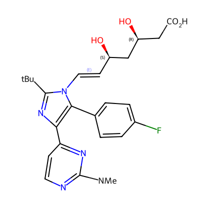 CNc1nccc(-c2nc(C(C)(C)C)n(/C=C/[C@@H](O)C[C@@H](O)CC(=O)O)c2-c2ccc(F)cc2)n1